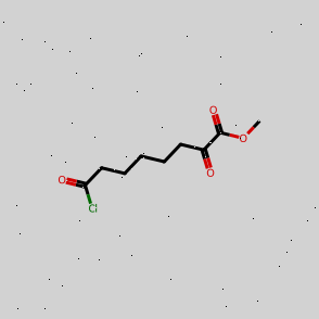 COC(=O)C(=O)CCCCCC(=O)Cl